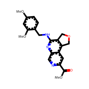 COC(=O)c1cc2c3c(c(NCc4ccc(OC)cc4OC)nc2cn1)COC3